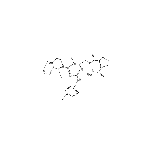 Cc1c(COC(=O)C2CCCN2C(=O)OC(C)(C)C)nc(Nc2ccc(F)cc2)nc1N1CCc2ccccc2C1C